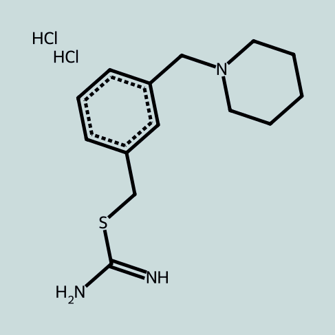 Cl.Cl.N=C(N)SCc1cccc(CN2CCCCC2)c1